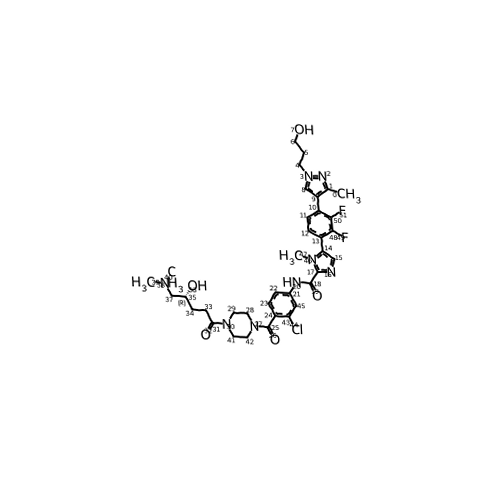 Cc1nn(CCCO)cc1-c1ccc(-c2cnc(C(=O)Nc3ccc(C(=O)N4CCN(C(=O)CC[C@@H](O)CN(C)C)CC4)c(Cl)c3)n2C)c(F)c1F